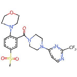 CS(=O)(=O)c1ccc(N2CCOCC2)c(C(=O)N2CCN(c3ccnc(C(F)(F)F)n3)CC2)c1